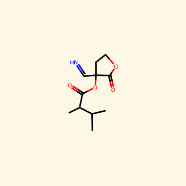 CC(C)C(C)C(=O)OC1(C=N)CCOC1=O